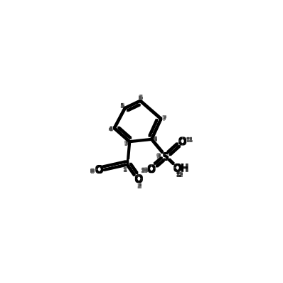 O=I(=O)c1ccccc1S(=O)(=O)O